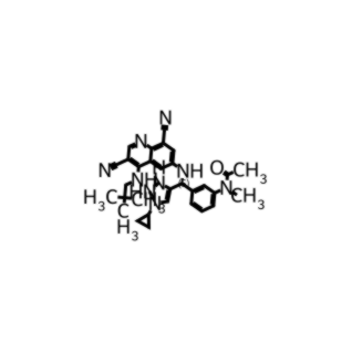 CC(=O)N(C)c1cccc([C@H](Nc2cc(C#N)c3ncc(C#N)c(NCC(C)(C)C)c3c2)C2=CN(C3CC3)NN2)c1